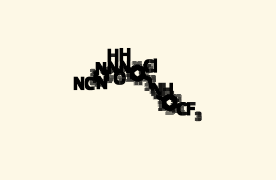 N#Cc1cnc(NC(=O)Nc2ccc(CCNCc3ccc(C(F)(F)F)cc3)c(Cl)c2)cn1